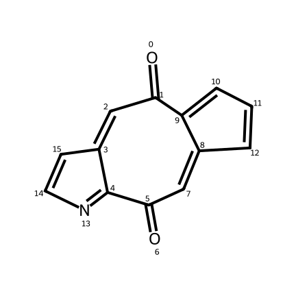 O=c1cc2c(c(=O)cc3c1=CC=C3)=NC=C2